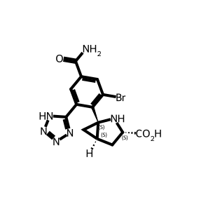 NC(=O)c1cc(Br)c([C@]23C[C@@H]2C[C@@H](C(=O)O)N3)c(-c2nnn[nH]2)c1